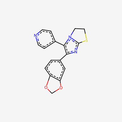 c1cc(-c2c(-c3ccc4c(c3)OCO4)nc3n2CCS3)ccn1